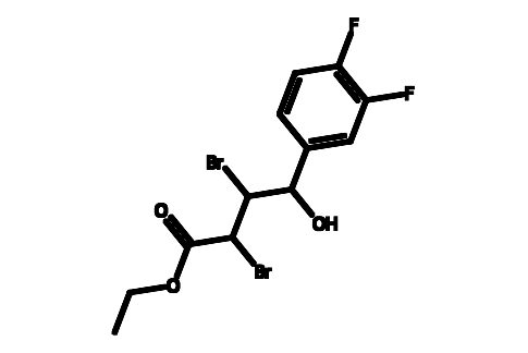 CCOC(=O)C(Br)C(Br)C(O)c1ccc(F)c(F)c1